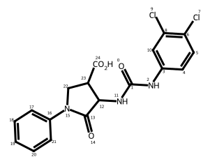 O=C(Nc1ccc(Cl)c(Cl)c1)NC1C(=O)N(c2ccccc2)CC1C(=O)O